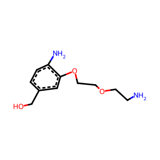 NCCOCCOc1cc(CO)ccc1N